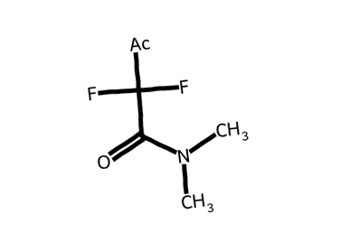 CC(=O)C(F)(F)C(=O)N(C)C